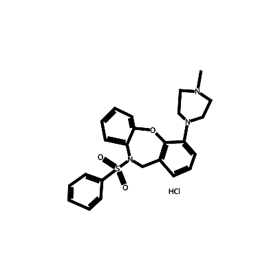 CN1CCN(c2cccc3c2Oc2ccccc2N(S(=O)(=O)c2ccccc2)C3)CC1.Cl